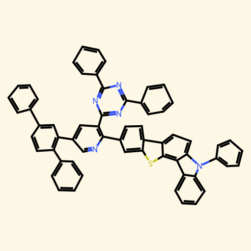 c1ccc(-c2ccc(-c3ccccc3)c(-c3cnc(-c4ccc5c(c4)sc4c5ccc5c4c4ccccc4n5-c4ccccc4)c(-c4nc(-c5ccccc5)nc(-c5ccccc5)n4)c3)c2)cc1